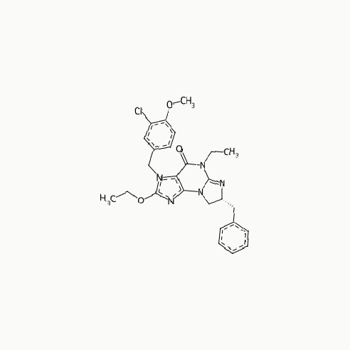 CCOc1nc2c(n1Cc1ccc(OC)c(Cl)c1)C(=O)N(CC)C1=N[C@H](Cc3ccccc3)CN12